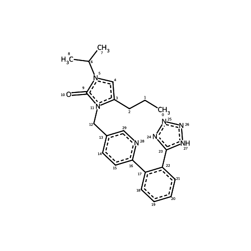 CCCc1cn(C(C)C)c(=O)n1Cc1ccc(-c2ccccc2-c2nnn[nH]2)nc1